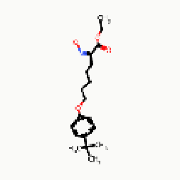 CCOC(=O)C(CCCCCOc1ccc(C(C)(C)C)cc1)=NO